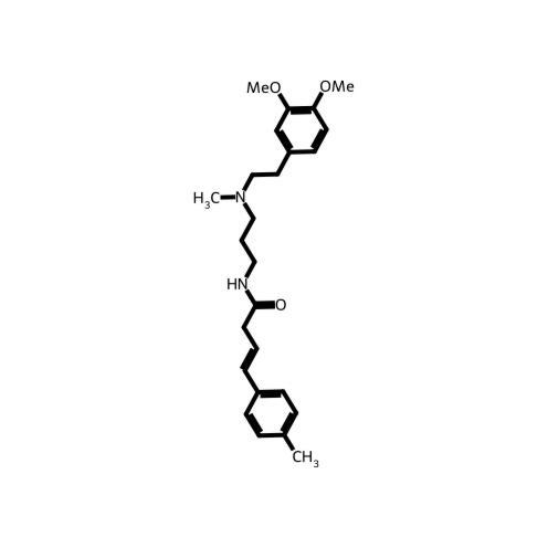 COc1ccc(CCN(C)CCCNC(=O)C/C=C/c2ccc(C)cc2)cc1OC